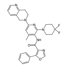 Cc1cc(N2CCc3ncccc3C2)nc(N2CCC(F)(F)CC2)c1NC(=O)c1ncoc1-c1ccccc1